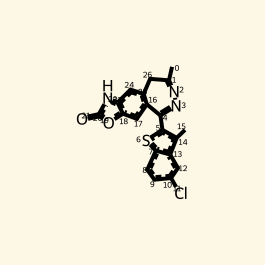 CC1=NN=C(c2sc3ccc(Cl)cc3c2C)c2cc3oc(=O)[nH]c3cc2C1